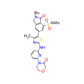 CCC(C)N1Cc2cc(-c3sc(Nc4cccc(N5CCOCC5=O)n4)nc3C)cc(S(=O)(=O)NC)c2C1=O